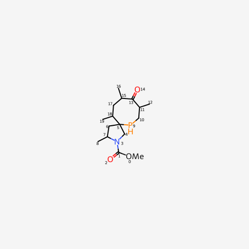 COC(=O)N1CC2(CC1C)PCC(C)C(=O)C(C)CC2C